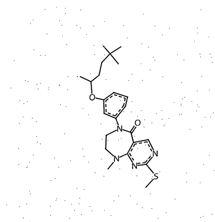 [CH2]C(CCC(C)(C)C)Oc1cccc(N2CCN(C)c3nc(SC)ncc3C2=O)c1